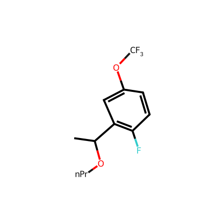 CCCOC(C)c1cc(OC(F)(F)F)ccc1F